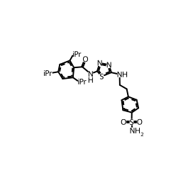 CC(C)c1cc(C(C)C)c(C(=O)Nc2nnc(NCCc3ccc(S(N)(=O)=O)cc3)s2)c(C(C)C)c1